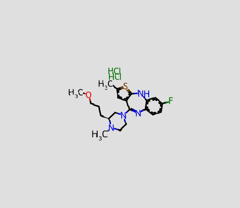 COCCC[C@H]1CN(C2=Nc3ccc(F)cc3Nc3sc(C)cc32)CCN1C.Cl.Cl